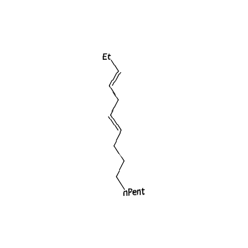 [CH2]CCCCCCCC=CCC=CCC